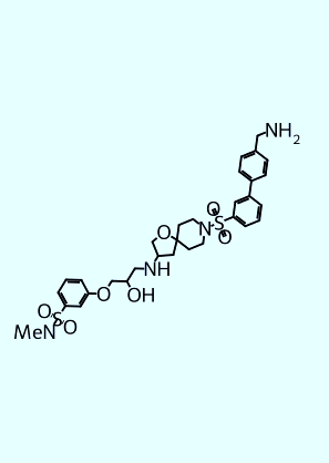 CNS(=O)(=O)c1cccc(OCC(O)CNC2COC3(CCN(S(=O)(=O)c4cccc(-c5ccc(CN)cc5)c4)CC3)C2)c1